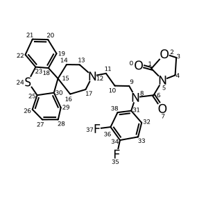 O=C1OCCN1C(=O)N(CCCN1CCC2(CC1)c1ccccc1Sc1ccccc12)c1ccc(F)c(F)c1